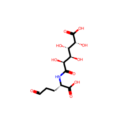 O=CCC[C@H](NC(=O)[C@@H](O)[C@H](O)[C@H](O)[C@@H](O)C(=O)O)C(=O)O